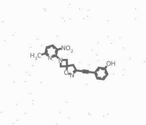 Cc1ccc([N+](=O)[O-])c(N2CC3(CC(C#Cc4cccc(O)c4)=NO3)C2)n1